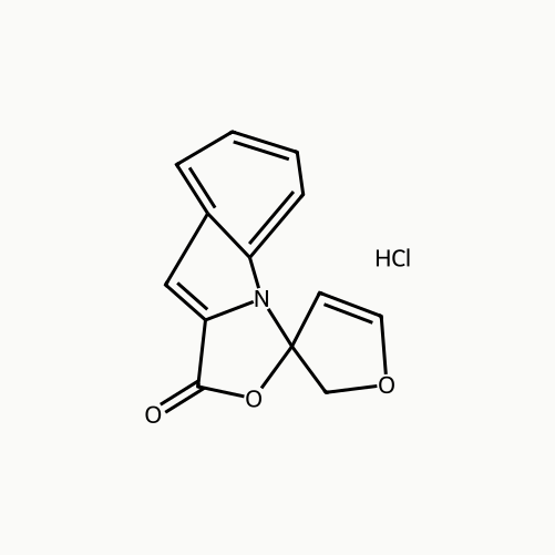 Cl.O=C1OC2(C=COC2)n2c1cc1ccccc12